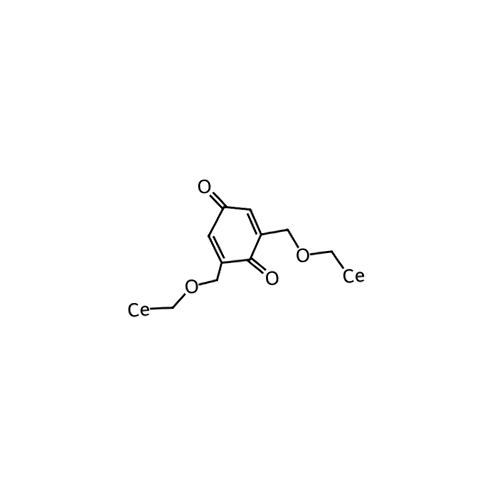 O=C1C=C(CO[CH2][Ce])C(=O)C(CO[CH2][Ce])=C1